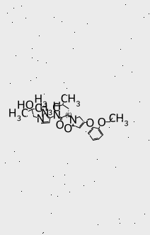 CCOc1ccccc1OC1=CC(=O)N([C@@H](CC(C)C)C(=O)Nc2ccn(CC(C)(C)O)n2)C1